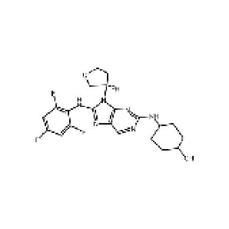 [2H]C1(n2c(Nc3c(F)cc(F)cc3F)nc3cnc(NC4CCC(O)CC4)nc32)CCOC1